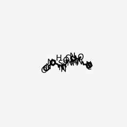 Cc1ncc(C(=O)NCCN2CC3CCC2CC3)cc1NC(=O)c1cnn2cc(-c3ccnc(N4CCOCC4)c3)sc12